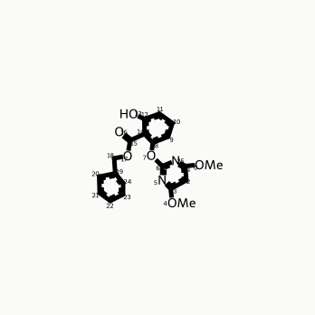 COc1cc(OC)nc(Oc2cccc(O)c2C(=O)OCc2ccccc2)n1